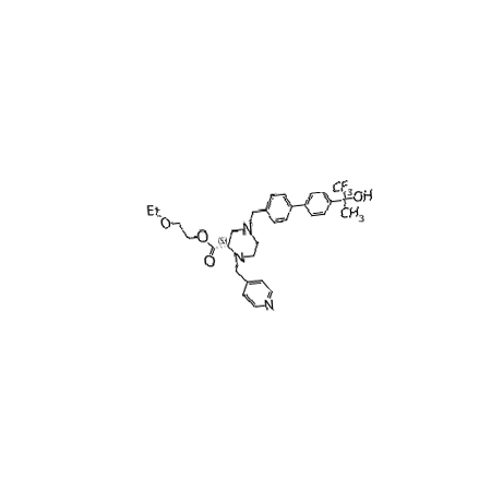 CCOCCOC(=O)[C@@H]1CN(Cc2ccc(-c3ccc(C(C)(O)C(F)(F)F)cc3)cc2)CCN1Cc1ccncc1